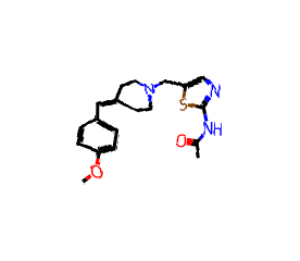 COc1ccc(C=C2CCN(Cc3cnc(NC(C)=O)s3)CC2)cc1